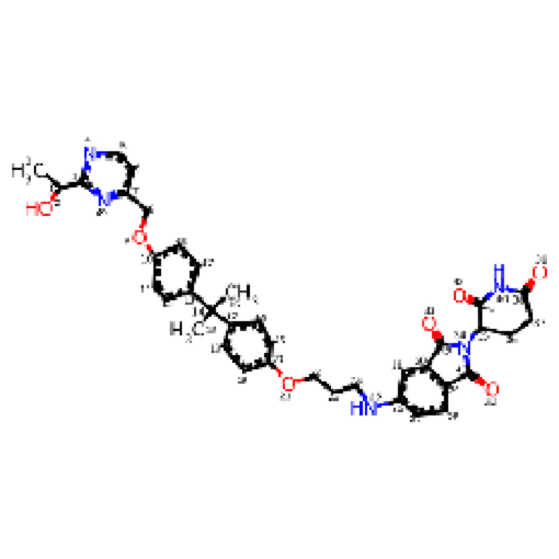 CC(O)c1nccc(COc2ccc(C(C)(C)c3ccc(OCCCNc4ccc5c(c4)C(=O)N(C4CCC(=O)NC4=O)C5=O)cc3)cc2)n1